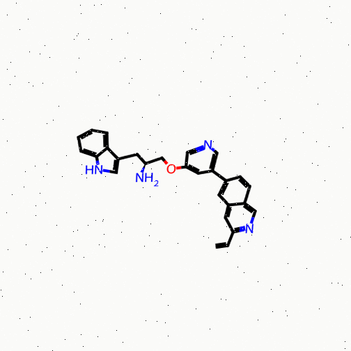 C=Cc1cc2cc(-c3cncc(OC[C@@H](N)Cc4c[nH]c5ccccc45)c3)ccc2cn1